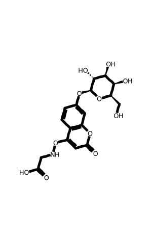 O=C(O)CNOc1cc(=O)oc2cc(O[C@@H]3O[C@H](CO)[C@H](O)[C@H](O)[C@H]3O)ccc12